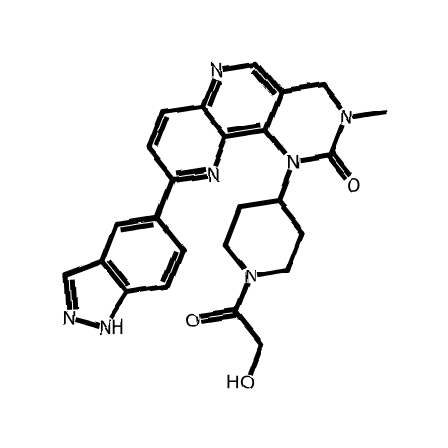 CN1Cc2cnc3ccc(-c4ccc5[nH]ncc5c4)nc3c2N(C2CCN(C(=O)CO)CC2)C1=O